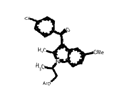 COc1ccc2c(c1)c(C(=O)c1ccc(Cl)cc1)c(C)n2C(C)COC(C)=O